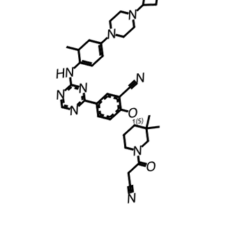 CC1CC(N2CCN(C3COC3)CC2)=CC=C1Nc1ncnc(-c2ccc(O[C@H]3CCN(C(=O)CC#N)CC3(C)C)c(C#N)c2)n1